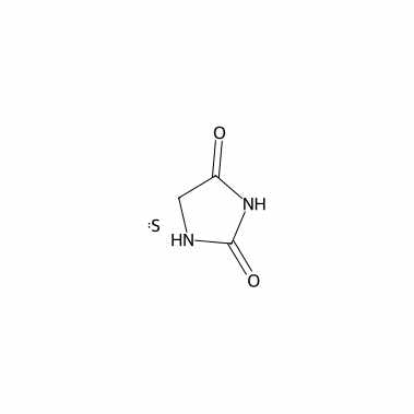 O=C1CNC(=O)N1.[S]